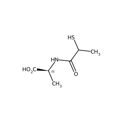 CC(S)C(=O)N[C@@H](C)C(=O)O